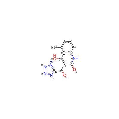 CCc1cccc2[nH]c(=O)c(C(=O)c3nnn[nH]3)c(O)c12